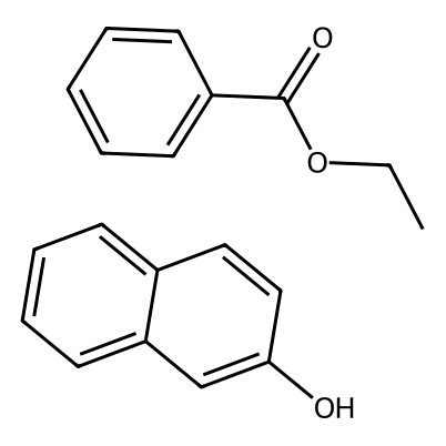 CCOC(=O)c1ccccc1.Oc1ccc2ccccc2c1